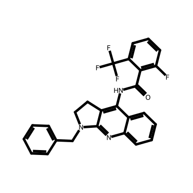 O=C(Nc1c2c(nc3ccccc13)N(Cc1ccccc1)CC2)c1c(F)cccc1C(F)(F)F